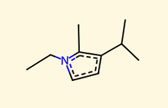 CCn1ccc(C(C)C)c1C